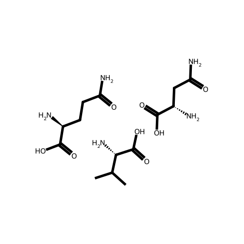 CC(C)[C@H](N)C(=O)O.NC(=O)CC[C@H](N)C(=O)O.NC(=O)C[C@H](N)C(=O)O